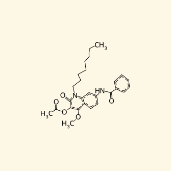 CCCCCCCCn1c(=O)c(OC(C)=O)c(OC)c2ccc(NC(=O)c3ccccc3)cc21